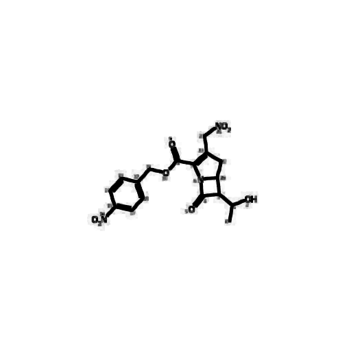 CC(O)C1C(=O)N2C(C(=O)OCc3ccc([N+](=O)[O-])cc3)=C(C[N+](=O)[O-])CC12